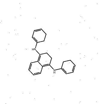 C1=CCCC(NC2=c3ccccc3=C(NC3=CC=CCC3)CC2)=C1